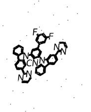 N#Cc1c(-n2c3ccccc3c3ccc(-c4ncccn4)cc32)cc(-c2cc(F)cc(F)c2)cc1-n1c2ccccc2c2ccc(-c3ncccn3)cc21